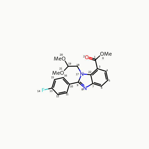 COC(=O)c1cccc2nc(-c3ccc(F)cc3)n(CC(OC)OC)c12